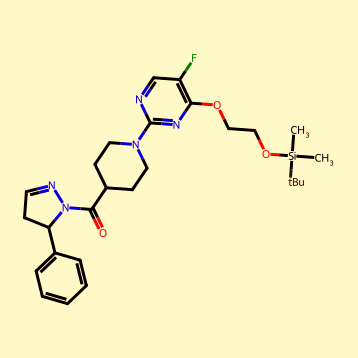 CC(C)(C)[Si](C)(C)OCCOc1nc(N2CCC(C(=O)N3N=CCC3c3ccccc3)CC2)ncc1F